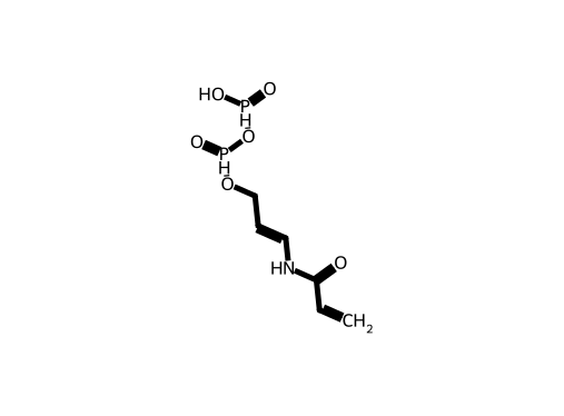 C=CC(=O)NC=CCO[PH](=O)O[PH](=O)O